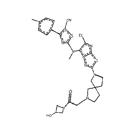 CCc1nc2sc(N3CCC4(CCN(CC(=O)N5CC(O)C5)C4)C3)nn2c1N(C)c1nc(-c2ccc(C)cc2)c(C#N)s1